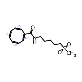 CS(=O)(=O)CCCCCNC(=O)C1=C/C=C\C=C/C=C\1